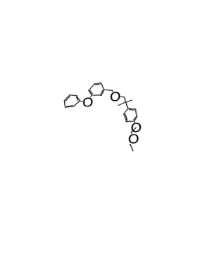 CCOCOc1ccc(C(C)(C)COCc2cccc(Oc3ccccc3)c2)cc1